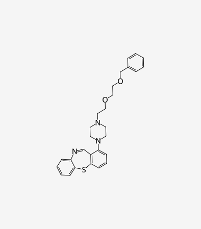 C1=Nc2ccccc2Sc2cccc(N3CCN(CCOCCOCc4ccccc4)CC3)c21